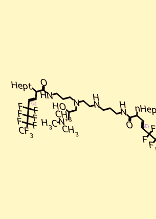 CCCCCCCC(/C=C/C(F)(F)C(F)(F)C(F)(F)C(F)(F)F)C(=O)NCCCNCCN(CCCNC(=O)C(/C=C/C(F)(F)C(F)(F)C(F)(F)C(F)(F)F)CCCCCCC)CC(O)C[N+](C)(C)C